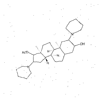 CC(=O)OC1C(N2CCCCC2)C[C@H]2[C@@H]3CCC4CC(O)C(N5CCCCC5)C[C@]4(C)[C@@H]3CC[C@]12C